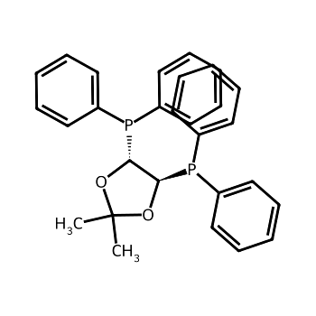 CC1(C)O[C@H](P(c2ccccc2)c2ccccc2)[C@@H](P(c2ccccc2)c2ccccc2)O1